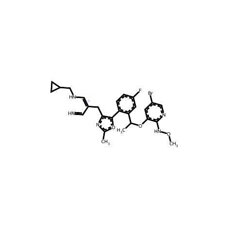 CONc1ncc(Br)cc1OC(C)c1cc(F)ccc1-c1oc(C)nc1C/C(C=N)=C/NCC1CC1